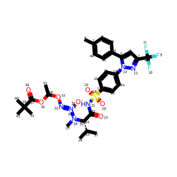 Cc1ccc(-c2cc(C(F)(F)F)nn2-c2ccc(S(=O)(=O)NC(=O)[C@H](C(C)C)N(C)[N+]([O-])=NOC(C)OC(=O)C(C)(C)C)cc2)cc1